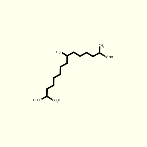 CCCCCC(C)CCCCC(C)CCCCCCC(C(=O)O)C(=O)O